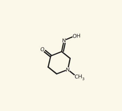 CN1CCC(=O)C(=NO)C1